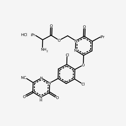 CC(C)c1cc(Oc2c(Cl)cc(-n3nc(C#N)c(=O)[nH]c3=O)cc2Cl)nn(COC(=O)C(N)C(C)C)c1=O.Cl